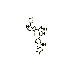 CCC(=O)Nc1cncc(-c2cnc3[nH]nc(-c4nc5c(-c6ccsc6)nccc5[nH]4)c3c2)c1